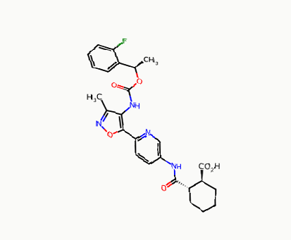 Cc1noc(-c2ccc(NC(=O)[C@H]3CCCC[C@@H]3C(=O)O)cn2)c1NC(=O)O[C@H](C)c1ccccc1F